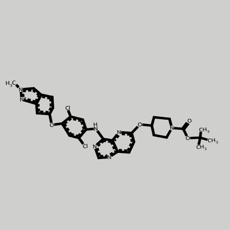 Cn1cc2ccc(Oc3cc(Cl)c(Nc4ncnc5ccc(OC6CCN(C(=O)OC(C)(C)C)CC6)nc45)cc3Cl)cc2n1